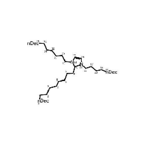 CCCCCCCCCCCCCCCCCCC1N(CCCCCCCCCCCCCC)C=CN1CCCCCCCCCCCCCCCC